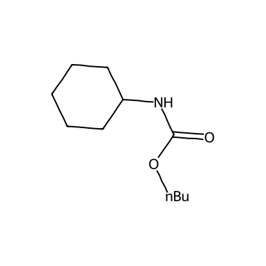 [CH2]CCCOC(=O)NC1CCCCC1